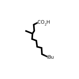 CCC(C)CCCCCC(C)CCC(=O)O